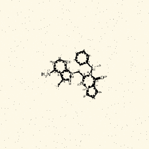 C[C@@H](c1ccccc1)n1c(Cn2nc(I)c3c(N)ncnc32)nn2cccc2c1=O